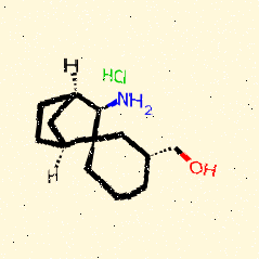 Cl.N[C@@H]1[C@@H]2CC[C@@H](C2)[C@]12CCC[C@@H](CO)C2